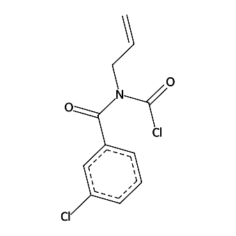 C=CCN(C(=O)Cl)C(=O)c1cccc(Cl)c1